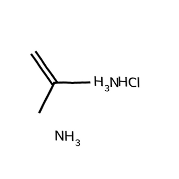 C=C(C)C.Cl.N.N